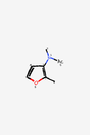 CC(=O)N(C)c1ccoc1C